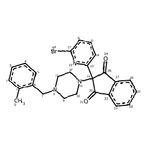 Cc1ccccc1CN1CCN(C2(c3cccc(Br)n3)C(=O)c3ccccc3C2=O)CC1